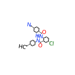 C#Cc1ccc(NC(=O)c2cc(Cl)ccc2NC(=O)c2ccc(C#N)cc2)cc1